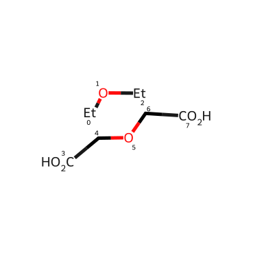 CCOCC.O=C(O)COCC(=O)O